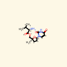 CC(C)[C@H](N)C(=O)OC[C@]1(C)CC[C@H](n2ccc(=O)[nH]c2=O)O1